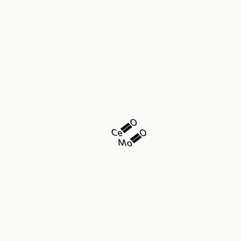 [O]=[Ce].[O]=[Mo]